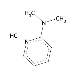 CN(C)c1ccccn1.Cl